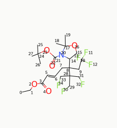 CCOC(=O)/C=C/CC(CC(F)(F)F)(C1COC(C)(C)N1C(=O)OC(C)(C)C)C(CF)(CF)CF